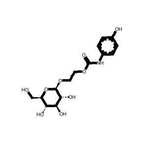 O=C(Nc1ccc(O)cc1)OCCO[C@@H]1O[C@H](CO)[C@@H](O)[C@H](O)[C@H]1O